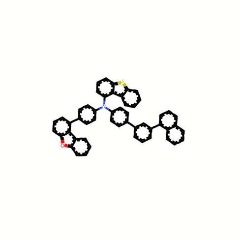 c1cc(-c2ccc(N(c3ccc(-c4cccc5oc6ccccc6c45)cc3)c3cccc4sc5ccccc5c34)cc2)cc(-c2cccc3ccccc23)c1